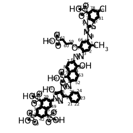 Cc1cc(N=Nc2ccc3c(S(=O)(=O)O)c(N=Nc4c(-c5ccccc5)nn(-c5cc(S(=O)(=O)O)c6cc(S(=O)(=O)O)cc(S(=O)(=O)O)c6c5)c4O)ccc3c2O)c(OCCCS(=O)(=O)O)cc1N=Nc1nc2c(S(=O)(=O)O)cc(Cl)cc2s1